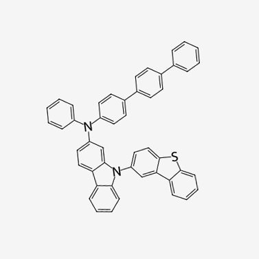 c1ccc(-c2ccc(-c3ccc(N(c4ccccc4)c4ccc5c6ccccc6n(-c6ccc7sc8ccccc8c7c6)c5c4)cc3)cc2)cc1